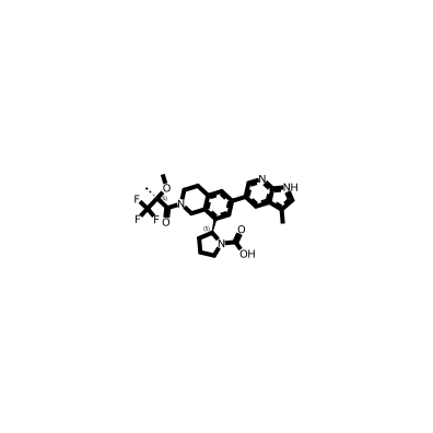 CO[C@@](C)(C(=O)N1CCc2cc(-c3cnc4[nH]cc(C)c4c3)cc([C@@H]3CCCN3C(=O)O)c2C1)C(F)(F)F